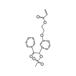 C=CC(=O)OCCOc1cccc(C(OS(C)(=O)=O)C(=O)c2ccccc2)c1